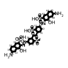 CS(=O)(=O)c1ccc(/N=N/c2c(S(=O)(=O)O)cc3ccc(N)cc3c2O)cc1/C=C/c1ccc(/N=N/c2c(S(=O)(=O)O)cc3ccc(N)cc3c2O)cc1S(=O)(=O)O